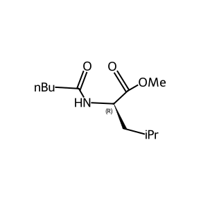 CCCCC(=O)N[C@H](CC(C)C)C(=O)OC